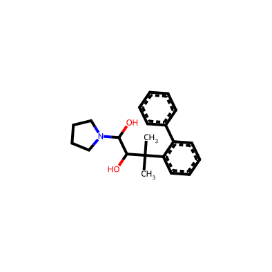 CC(C)(c1ccccc1-c1ccccc1)C(O)C(O)N1CCCC1